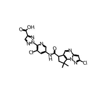 CC1(C)CC(C(=O)Nc2cnc(-n3ncc(C(=O)O)n3)c(Cl)c2)c2cnc3cc(Cl)nn3c21